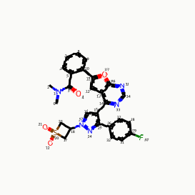 CN(C)C(=O)c1ccccc1-c1cc2c(-c3cn(C4CS(=O)(=O)C4)nc3-c3ccc(F)cc3)ncnc2o1